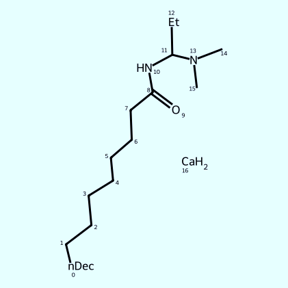 CCCCCCCCCCCCCCCCCC(=O)NC(CC)N(C)C.[CaH2]